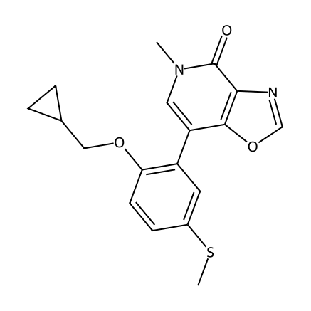 CSc1ccc(OCC2CC2)c(-c2cn(C)c(=O)c3ncoc23)c1